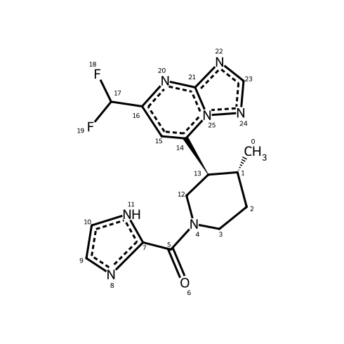 C[C@@H]1CCN(C(=O)c2ncc[nH]2)C[C@H]1c1cc(C(F)F)nc2ncnn12